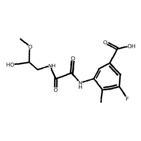 COC(O)CNC(=O)C(=O)Nc1cc(C(=O)O)cc(F)c1C